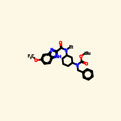 CCN(C(=O)c1nc2cc(OC(F)(F)F)ccc2[nH]1)C1CCCC(N(Cc2ccccc2)C(=O)OC(C)(C)C)C1